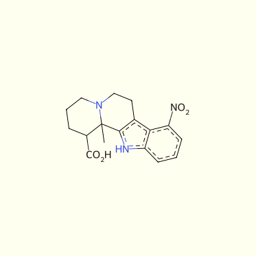 CC12c3[nH]c4cccc([N+](=O)[O-])c4c3CCN1CCCC2C(=O)O